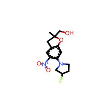 CC1(CO)Cc2cc([N+](=O)[O-])c(N3CCC(F)C3)cc2O1